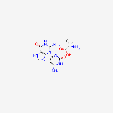 C[C@H](N)C(=O)O.Nc1ccnc(=O)[nH]1.Nc1nc2nc[nH]c2c(=O)[nH]1